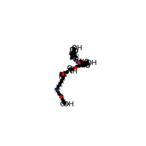 CN1/C(=C/C=C/C2=[N+](CCCCCC(=O)NCCCn3cc(CCCCCCC/C=C\CCCCSCCC(=O)O)nn3)c3ccc(S(=O)(=O)O)cc3C2(C)C)C(C)(C)c2cc(S(=O)(=O)O)ccc21